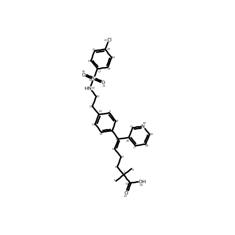 CC(C)(CC/C=C(/c1ccc(CCNS(=O)(=O)c2ccc(Cl)cc2)cc1)c1cccnc1)C(=O)O